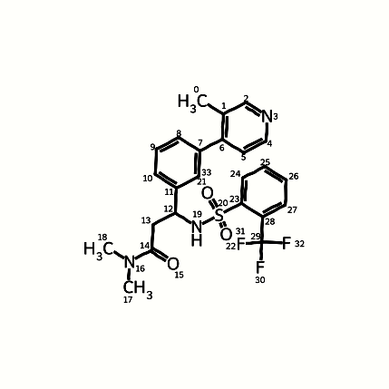 Cc1cnccc1-c1cccc(C(CC(=O)N(C)C)NS(=O)(=O)c2ccccc2C(F)(F)F)c1